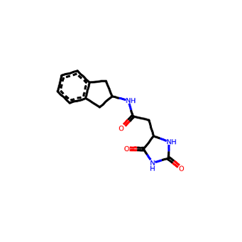 O=C(CC1NC(=O)NC1=O)NC1Cc2ccccc2C1